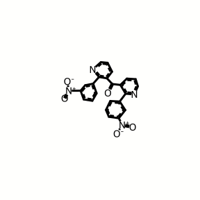 O=C(c1cccnc1-c1cccc([N+](=O)[O-])c1)c1cccnc1-c1cccc([N+](=O)[O-])c1